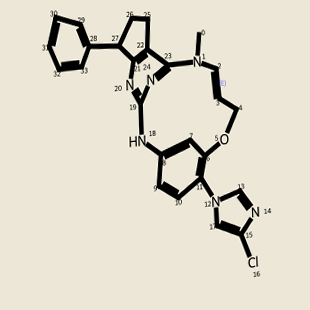 CN1/C=C/COc2cc(ccc2-n2cnc(Cl)c2)Nc2nc3c(c1n2)CCC3c1ccccc1